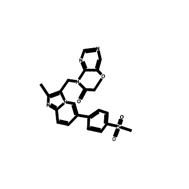 Cc1nc2ccc(-c3ccc(S(C)(=O)=O)cc3)cn2c1CN1C(=O)COc2cncnc21